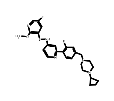 COc1ncc(Cl)cc1SNc1ccnc(-c2ccc(CN3CCN(C4CCC4)CC3)cc2F)c1